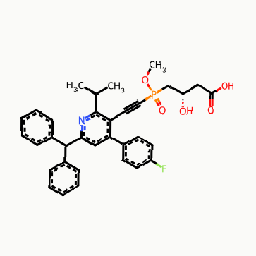 COP(=O)(C#Cc1c(-c2ccc(F)cc2)cc(C(c2ccccc2)c2ccccc2)nc1C(C)C)C[C@@H](O)CC(=O)O